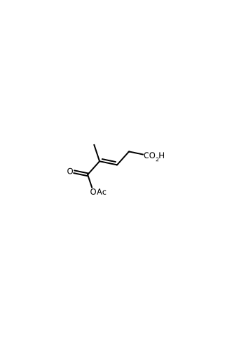 CC(=O)OC(=O)C(C)=CCC(=O)O